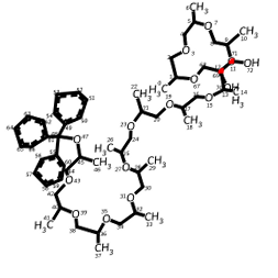 CC(COCC(C)OCC(C)OCC(C)OCC(C)OCC(C)OCC(C)OC(C)COC(C)COC(C)COC(C)COCC(C)OC(c1ccccc1)(c1ccccc1)c1ccccc1)OCC(O)CO